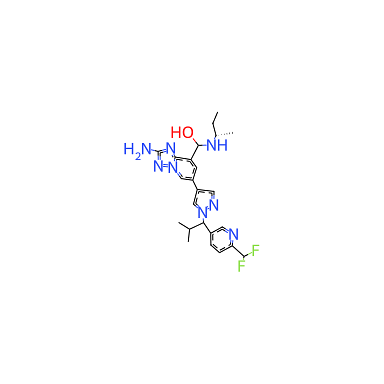 CC[C@H](C)NC(O)c1cc(-c2cnn(C(c3ccc(C(F)F)nc3)C(C)C)c2)cn2nc(N)nc12